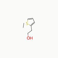 CC.OCCc1cccs1